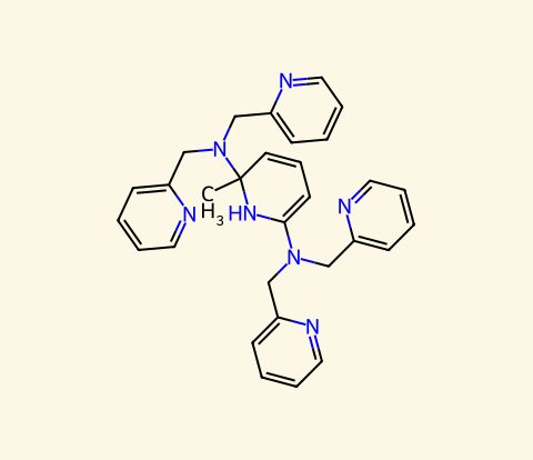 CC1(N(Cc2ccccn2)Cc2ccccn2)C=CC=C(N(Cc2ccccn2)Cc2ccccn2)N1